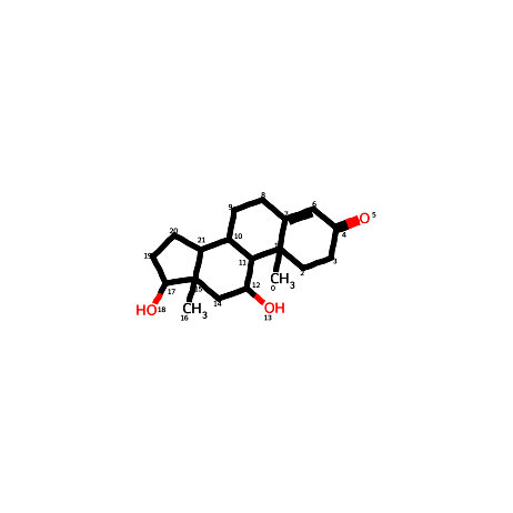 CC12CCC(=O)C=C1CCC1C2C(O)CC2(C)C(O)CCC12